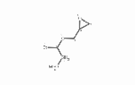 CCC(OCC1CO1)[SiH2]OC